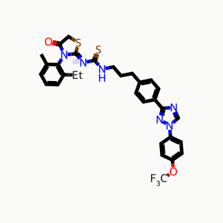 CCc1cccc(C)c1N1C(=O)CS/C1=N\C(=S)NCCCc1ccc(-c2ncn(-c3ccc(OC(F)(F)F)cc3)n2)cc1